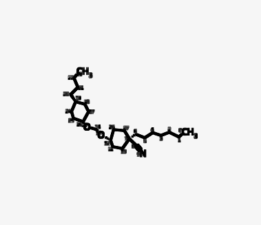 CCCCCCC[C@]1(C#N)CC[C@H](OCO[C@H]2CC[C@H](CCCC)CC2)CC1